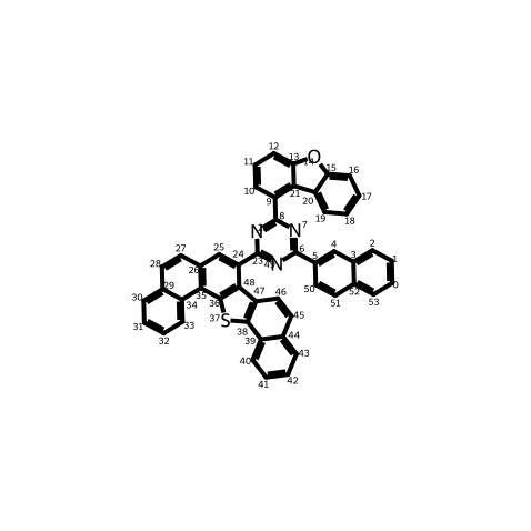 c1ccc2cc(-c3nc(-c4cccc5oc6ccccc6c45)nc(-c4cc5ccc6ccccc6c5c5sc6c7ccccc7ccc6c45)n3)ccc2c1